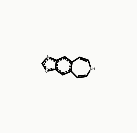 C1=Cc2cc3ncoc3cc2C=CN1